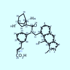 Cn1ncc2cc3cccc(CN(C(=O)C4C[C@H]5CC[C@@H]4C5)c4cccc(/C=C/C(=O)O)c4)c3c(F)c21